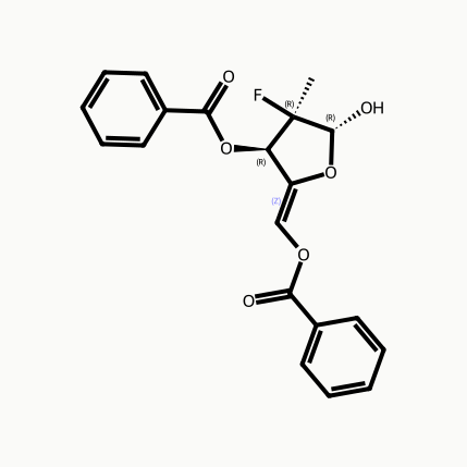 C[C@]1(F)[C@H](O)O/C(=C\OC(=O)c2ccccc2)[C@H]1OC(=O)c1ccccc1